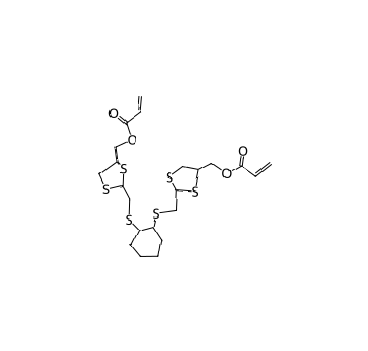 C=CC(=O)OCC1CSC(CSC2CCCCC2SCC2SCC(COC(=O)C=C)S2)S1